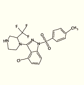 Cc1ccc(S(=O)(=O)n2nc(N3CCNCC3C(F)(F)F)c3c(Cl)cccc32)cc1